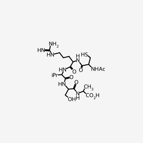 CC(=O)NC(CS)C(=O)NC(CCCNC(=N)N)C(=O)NC(C(=O)NC(CO)C(=O)NC(C)C(=O)O)C(C)C